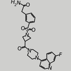 NC(=O)Cc1cccc(S(=O)(=O)N2CC(C(=O)N3CCN(c4ccnc5cc(F)ccc45)CC3)C2)c1